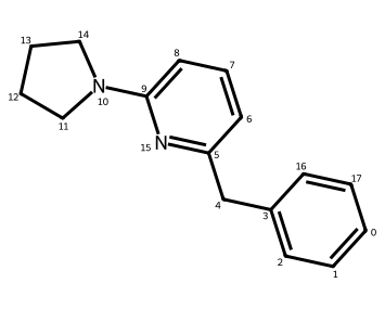 c1ccc(Cc2cccc(N3CCCC3)n2)cc1